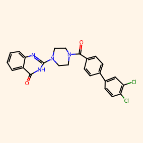 O=C(c1ccc(-c2ccc(Cl)c(Cl)c2)cc1)N1CCN(c2nc3ccccc3c(=O)[nH]2)CC1